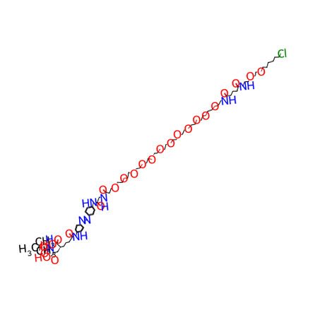 CC(C)(C)OC(=O)N[C@@H](C[C@H](CCCC(=O)Nc1ccc(/N=N/c2ccc(NC(=O)CNC(=O)CCOCCOCCOCCOCCOCCOCCOCCOCCOCCOCCOCCOCCNC(=O)CCCC(=O)NCCOCCOCCCCCCCl)cc2)cc1)C(=O)O)C(=O)O